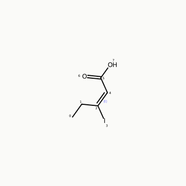 CC/C(I)=C\C(=O)O